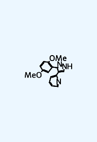 COc1ccc(OC)c(-c2n[nH]cc2-c2ccccn2)c1